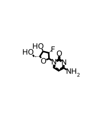 Nc1ccn(C2O[C@H](CO)[C@@H](O)[C@@H]2F)c(=O)n1